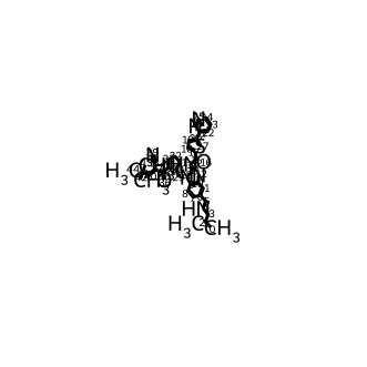 CC(C)CNCc1ccc2c(c1)nc(NC(=O)c1ccc(-c3cccnn3)s1)n2CC1CCCN1C(=O)C(C#N)=CC(C)(C)C